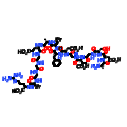 CC(C)CC(NC(=O)[C@H](Cc1ccccc1)NC(=O)[C@H](CC(=O)O)NC(=O)CNC(=O)[C@H](CCC(=O)O)NC(=O)CNC(=O)[C@H](CO)NC(=O)[C@H](CC(=O)O)NC(=O)[C@H](C)N)C(=O)N[C@@H](C)C(=O)N[C@@H](CCC(=O)O)C(=O)NCC(=O)NCC(=O)NCC(=O)N[C@H](C(=O)N[C@@H](CCCN=C(N)N)C(=O)O)C(C)C